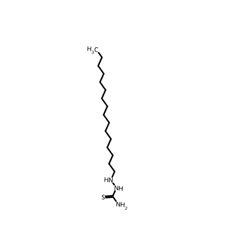 CCCCCCCCCCCCCCCCNNC(N)=S